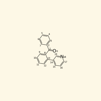 O=C(c1ccccc1)c1ccccc1-c1cccnc1